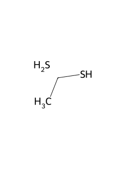 CCS.S